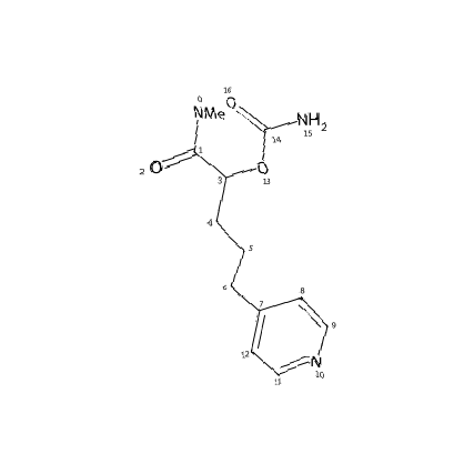 CNC(=O)C(CCCc1ccncc1)OC(N)=O